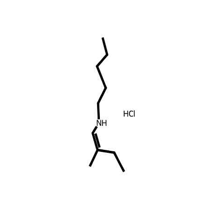 CCCCCNC=C(C)CC.Cl